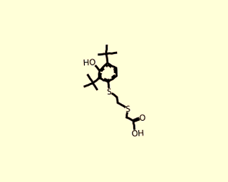 CC(C)(C)c1ccc(SCCSCC(=O)O)c(C(C)(C)C)c1O